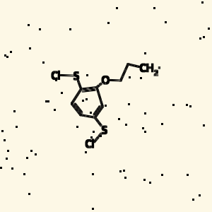 [CH2]CCOc1cc(SCl)ccc1SCl